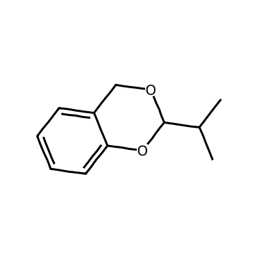 CC(C)C1OCc2ccccc2O1